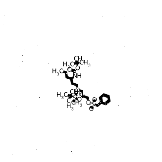 CCCC(CCOC[C@@H](COS(=O)(=O)Cc1ccccc1)O[Si](C)(C)C(C)(C)C)NC(=O)OC(C)(C)C